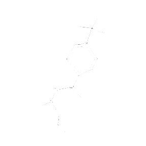 CCN(C)NC(=O)c1ccc(C(C)(C)C)cc1